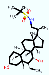 CC[C@H]1[C@@H](O)[C@@H]2[C@H](CC[C@]3(C)[C@@H]([C@H](C)CNS(=O)(=O)C(C)(C)C)CC[C@@H]23)[C@@]2(C)CC[C@@H](O)C[C@@H]12